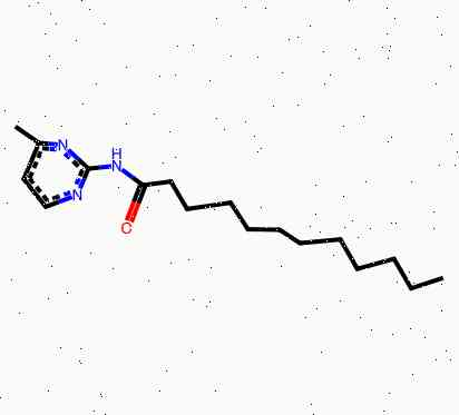 CCCCCCCCCCCC(=O)Nc1nccc(C)n1